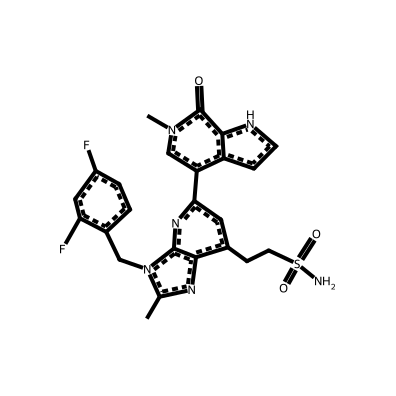 Cc1nc2c(CCS(N)(=O)=O)cc(-c3cn(C)c(=O)c4[nH]ccc34)nc2n1Cc1ccc(F)cc1F